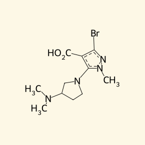 CN(C)C1CCN(c2c(C(=O)O)c(Br)nn2C)C1